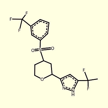 CC(F)(F)c1cc(C2CC(S(=O)(=O)c3cccc(C(F)(F)F)c3)CCO2)n[nH]1